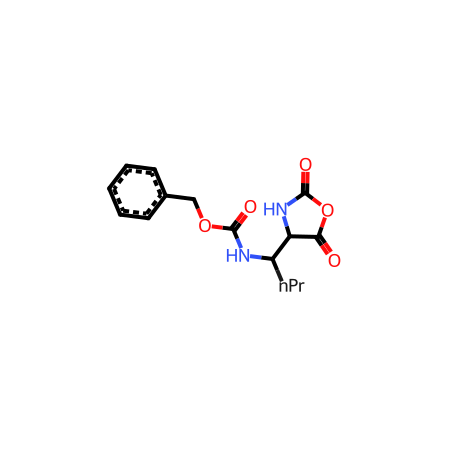 CCCC(NC(=O)OCc1ccccc1)C1NC(=O)OC1=O